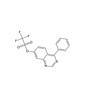 O=S(=O)(Oc1ccc2c(-c3ccccc3)ncnc2c1)C(F)(F)F